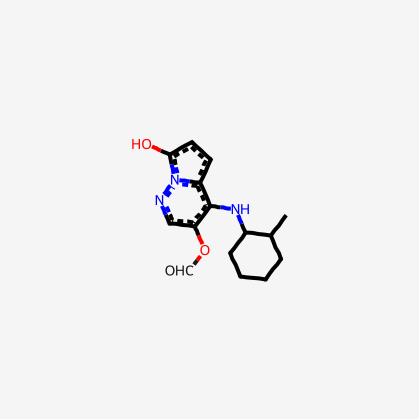 CC1CCCCC1Nc1c(OC=O)cnn2c(O)ccc12